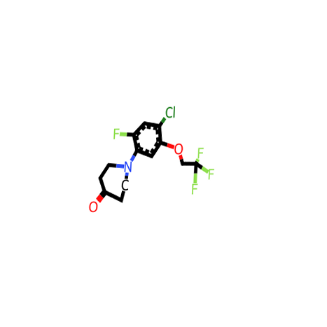 O=C1CCN(c2cc(OCC(F)(F)F)c(Cl)cc2F)CC1